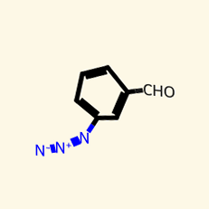 [N-]=[N+]=Nc1cccc(C=O)c1